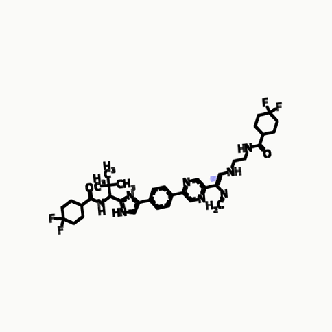 C=N/C(=C\NCCNC(=O)C1CCC(F)(F)CC1)c1cnc(-c2ccc(-c3c[nH]c(C(NC(=O)C4CCC(F)(F)CC4)C(C)(C)C)n3)cc2)cn1